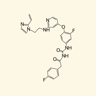 C=Cc1nccn1CCNc1cc(Oc2ccc(NC(=O)NC(=O)Cc3ccc(F)cc3)cc2F)ccn1